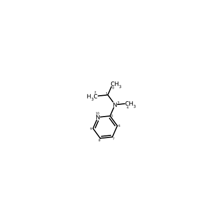 CC(C)N(C)c1ccccn1